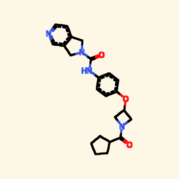 O=C(Nc1ccc(OC2CN(C(=O)C3CCCC3)C2)cc1)N1Cc2ccncc2C1